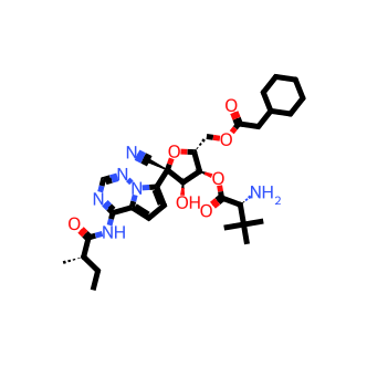 CC[C@H](C)C(=O)Nc1ncnn2c([C@]3(C#N)O[C@H](COC(=O)CC4CCCCC4)[C@@H](OC(=O)[C@H](N)C(C)(C)C)[C@H]3O)ccc12